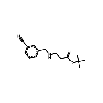 CC(C)(C)OC(=O)CCNCc1cccc(C#N)c1